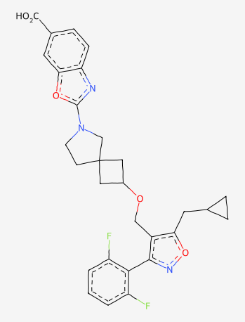 O=C(O)c1ccc2nc(N3CCC4(CC(OCc5c(-c6c(F)cccc6F)noc5CC5CC5)C4)C3)oc2c1